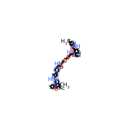 CC(=O)c1c(C)c2cnc(Nc3ccc(N4CCN(CC(=O)NCCOCCOCCC(=O)Nc5c(C(=O)Nc6ccc(C)cn6)ccc6ncccc56)CC4)cn3)nc2n(C2CCCC2)c1=O